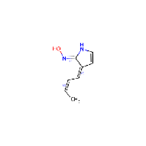 C\C=C/C=C1/C=CN/C1=N\O